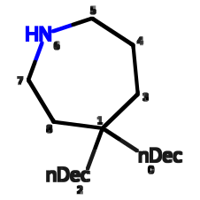 CCCCCCCCCCC1(CCCCCCCCCC)CCCNCC1